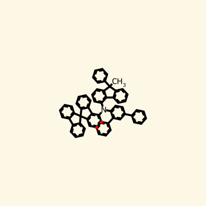 CC1(c2ccccc2)c2ccccc2-c2c(N(c3ccc(-c4ccccc4)cc3-c3ccccc3)c3cccc4c3-c3ccccc3C43c4ccccc4-c4ccccc43)cccc21